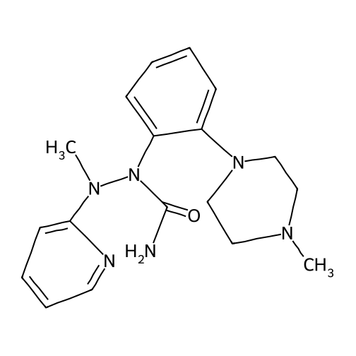 CN1CCN(c2ccccc2N(C(N)=O)N(C)c2ccccn2)CC1